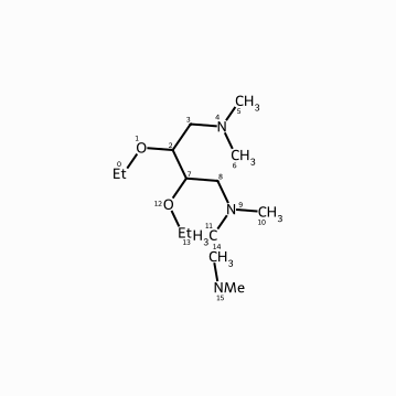 CCOC(CN(C)C)C(CN(C)C)OCC.CNC